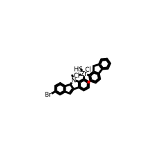 CN1c2c(ccc[c]2[Zr]([SH])([Cl])([Cl])[c]2cccc3c2Cc2ccccc2-3)C2=Cc3cc(Br)ccc3C21